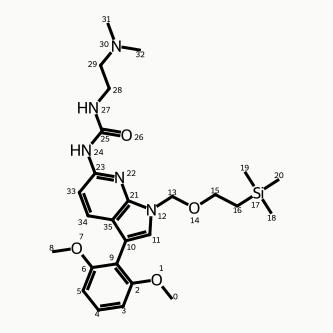 COc1cccc(OC)c1-c1cn(COCC[Si](C)(C)C)c2nc(NC(=O)NCCN(C)C)ccc12